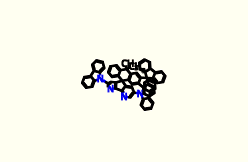 CC1(C)c2ccccc2C2(c3cc4c(cc31)C1(c3ccccc3-c3ccccc31)c1ccccc1-4)c1cc(-n3c4ccccc4c4ccccc43)cnc1-c1ncc(-n3c4ccccc4c4ccccc43)cc12